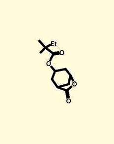 CCC(C)(C)C(=O)OC1CC2CC(C1)C(=O)O2